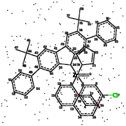 [CH2]=[Zr]([c]1cccc(Cl)c1)([c]1cccc2ccccc12)([CH]1C=CC=C1)[CH]1c2cc(-c3ccccc3)c(C(C)(C)C)cc2-c2cc(C(C)(C)C)c(-c3ccccc3)cc21